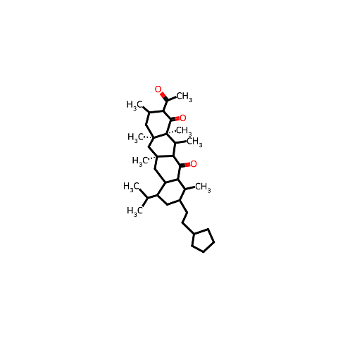 CC(=O)C1C(=O)[C@@]2(C)C(C)C3C(=O)C4C(C)C(CCC5CCCC5)CC(C(C)C)C4C[C@@]3(C)C[C@@]2(C)CC1C